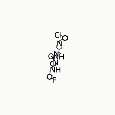 C/C(=N\NC(=O)c1ccc(NCc2cccc(F)c2)cn1)C1CCN(Cc2ccccc2Cl)CC1